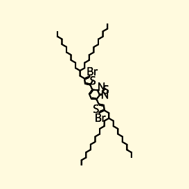 CCCCCCCCCCCCC(CCCCCCCCCC)Cc1cc(-c2ccc(-c3cc(CC(CCCCCCCCCC)CCCCCCCCCCCC)c(Br)s3)c3nsnc23)sc1Br